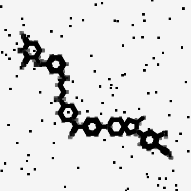 C[C@@H]1CC2(CCN(c3ccc(C(=O)N4CCC(NCCNc5cccc(N[C@@H]6CCC(=O)NC6=O)c5)CC4)cc3)CC2)CN1c1ccc(C#N)c(Cl)c1